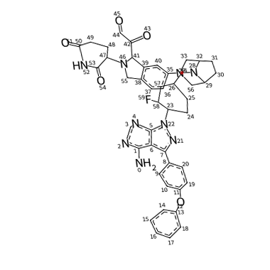 Nc1ncnc2c1c(-c1ccc(Oc3ccccc3)cc1)nn2C1CCC(CN2C3CCC2CN(c2ccc4c(c2)C(C(=O)C=O)N(C2CCC(=O)NC2=O)C4)C3)CC1F